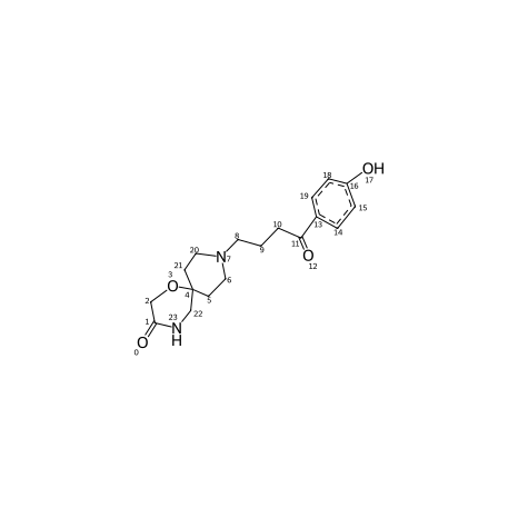 O=C1COC2(CCN(CCCC(=O)c3ccc(O)cc3)CC2)CN1